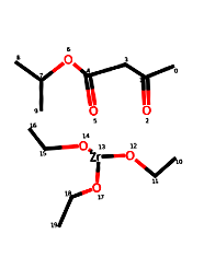 CC(=O)CC(=O)OC(C)C.CC[O][Zr]([O]CC)[O]CC